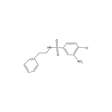 O=[N+]([O-])c1cc(S(=O)(=O)NCCc2ccccc2)ccc1Cl